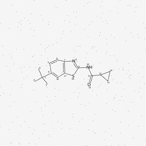 CC(C)(C)c1ccc2nc(NC(=O)C3CC3)sc2c1